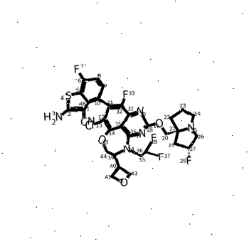 N#Cc1c(N)sc2c(F)ccc(-c3c(Cl)c4c5c(nc(OC[C@@]67CCCN6C[C@H](F)C7)nc5c3F)N(CC(F)F)C(C3COC3)CO4)c12